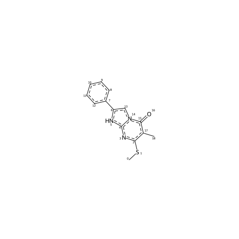 CSc1nc2[nH]c(-c3ccccc3)cn2c(=O)c1C